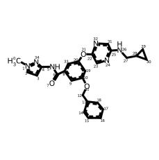 Cn1ccc(NC(=O)c2cc(OCc3ccccc3)cc(Oc3cnc(NCC4CC4)cn3)c2)n1